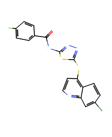 O=C(Nc1nnc(Sc2ccnc3cc(Cl)ccc23)s1)c1ccc(F)cc1